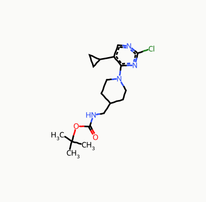 CC(C)(C)OC(=O)NCC1CCN(c2nc(Cl)ncc2C2CC2)CC1